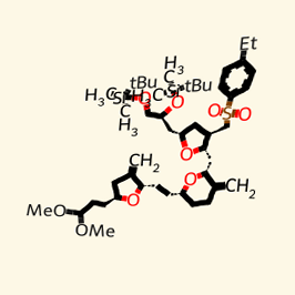 C=C1C[C@H](CCC(OC)OC)O[C@H]1CC[C@H]1CCC(=C)[C@@H](C[C@@H]2O[C@H](C[C@@H](CO[Si](C)(C)C(C)(C)C)O[Si](C)(C)C(C)(C)C)C[C@H]2CS(=O)(=O)c2ccc(CC)cc2)O1